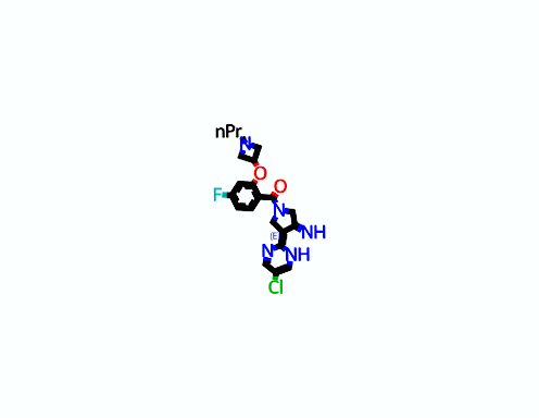 CCCN1CC(Oc2cc(F)ccc2C(=O)N2CC(=N)/C(=C3/N=CC(Cl)=CN3)C2)C1